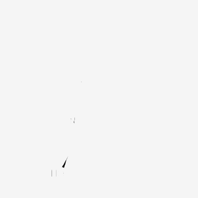 Cc1ccc(C(C)(C)CN2CC[C@@H](O)C2)cc1